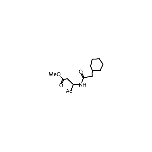 COC(=O)CC(NC(=O)CC1CCCCC1)C(C)=O